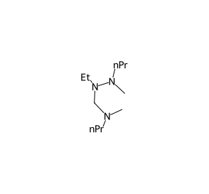 CCCN(C)CN(CC)N(C)CCC